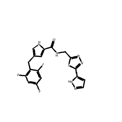 O=C(NCc1nnc(-c2ccn[nH]2)s1)c1cc(Cc2c(F)cc(F)cc2F)c[nH]1